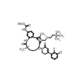 COC(=O)Nc1ccc2c(c1)NC(=O)[C@H](C)CCC[C@H](N1CCC(c3cccc(Cl)c3F)=CC1=O)c1nc-2c(C)n1COCC[Si](C)(C)C